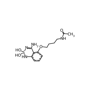 CC(=O)NCCCCOc1cccc2c1C(N)=NS(O)(O)N2